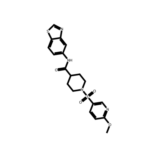 COc1ccc(S(=O)(=O)N2CCC(C(=O)Nc3ccc4scnc4c3)CC2)cn1